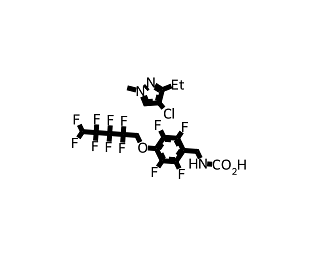 CCc1nn(C)cc1Cl.O=C(O)NCc1c(F)c(F)c(OCC(F)(F)C(F)(F)C(F)(F)C(F)F)c(F)c1F